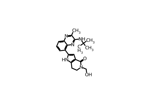 Cc1nc2cccc(-c3cc4c([nH]3)CCN(CO)C4=O)c2nc1NC(C)(C)C